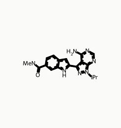 CNC(=O)c1ccc2cc(-c3nn(C(C)C)c4ncnc(N)c34)[nH]c2c1